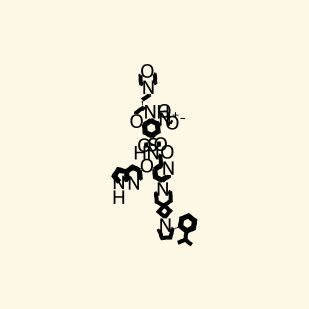 CC(C)c1ccccc1[C@@H]1CCCN1C1CC2(CCN(c3cnc(C(=O)NS(=O)(=O)c4cc5c(c([N+](=O)[O-])c4)N[C@@H](CCN4CCOCC4)CO5)c(Oc4cnc5[nH]ccc5c4)c3)CC2)C1